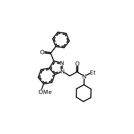 CCN(C(=O)Cn1nc(C(=O)c2ccccc2)c2ccc(OC)cc21)C1CCCCC1